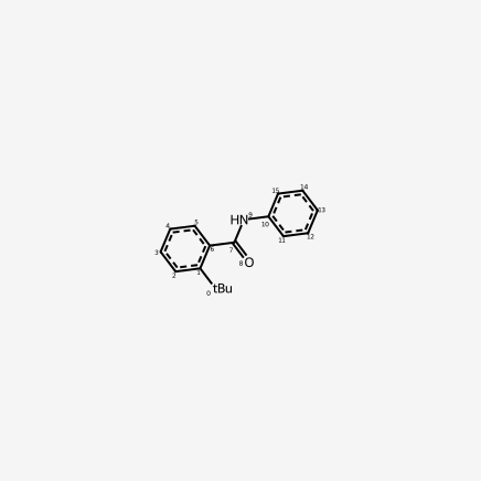 CC(C)(C)c1ccccc1C(=O)Nc1ccccc1